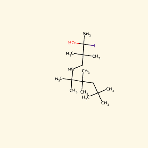 BC(O)(I)C(C)(C)CBC(C)(C)C(C)(C)CC(C)(C)C